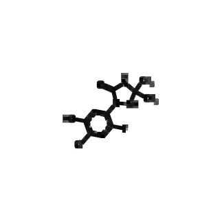 CC1(C)NC(=O)N(c2cc(O)c(Cl)cc2F)N1